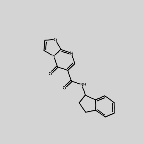 O=C(NC1CCc2ccccc21)c1cnc2occn2c1=O